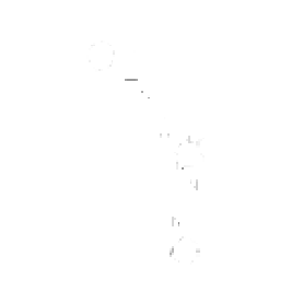 C[C@H](CC(=O)N1CCC(O)(Cn2cnc(NCCNc3c#cccc3)cc2=O)CC1)c1ccccc1